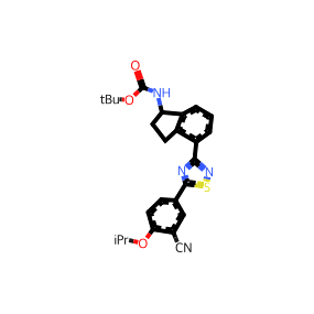 CC(C)Oc1ccc(-c2nc(-c3cccc4c3CCC4NC(=O)OC(C)(C)C)ns2)cc1C#N